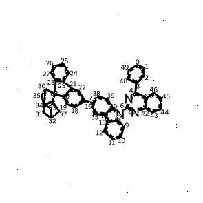 c1ccc(-c2nc(-n3c4ccccc4c4cc(-c5ccc6c(c5)-c5ccccc5C65C6CC7CC(C6)C5C7)ccc43)nc3ccccc23)cc1